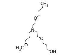 CCCCOCCN(CCCOC)CCOCCCO